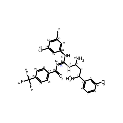 NC(CC(N)c1cccc(Cl)c1)N/C(=N\C(=O)c1ccc(C(F)(F)F)cc1)Nc1cc(F)cc(Cl)c1